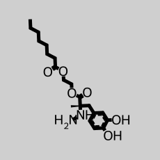 CCCCCCCC(=O)OCCOC(=O)[C@](C)(Cc1ccc(O)c(O)c1)NN